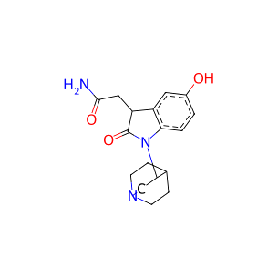 NC(=O)CC1C(=O)N(C2CN3CCC2CC3)c2ccc(O)cc21